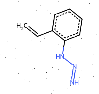 C=Cc1ccccc1NN=N